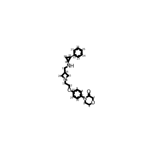 O=C1COCCN1c1ccc(OCCN2CC(CN[C@@H]3C[C@H]3c3ccccc3)C2)cc1